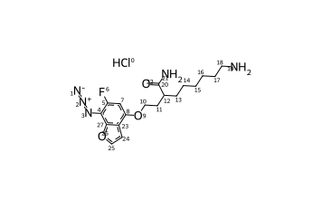 Cl.[N-]=[N+]=Nc1c(F)cc(OCCC(CCCCCCN)C(N)=O)c2ccoc12